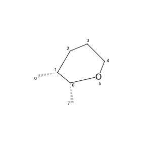 C[C@@H]1CCCO[C@@H]1C